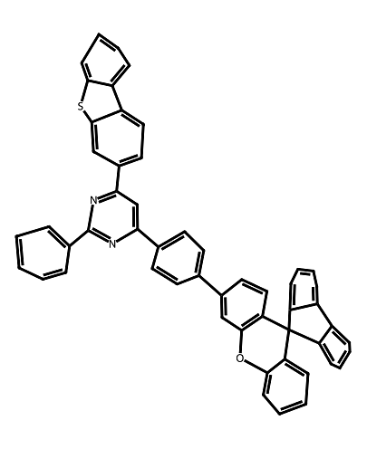 c1ccc(-c2nc(-c3ccc(-c4ccc5c(c4)Oc4ccccc4C54c5ccccc5-c5ccccc54)cc3)cc(-c3ccc4c(c3)sc3ccccc34)n2)cc1